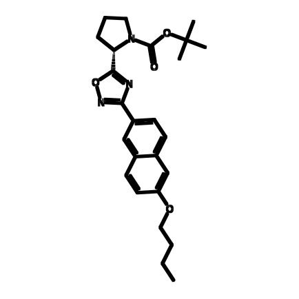 CCCCOc1ccc2cc(-c3noc([C@@H]4CCCN4C(=O)OC(C)(C)C)n3)ccc2c1